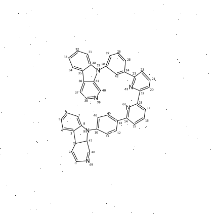 C1=CC2c3ccccc3N(c3ccc(-c4cccc(-c5cccc(-c6cccc(-n7c8ccccc8c8ccncc87)c6)n5)n4)cc3)C2C=N1